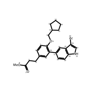 COC(=O)CCc1ccc(OCC2CCCC2)c(-c2ccc3[nH]cc(C(C)=O)c3c2)c1